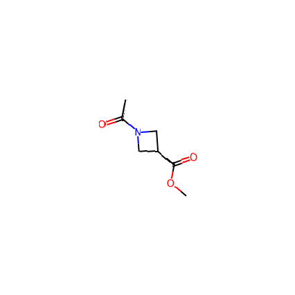 COC(=O)C1CN(C(C)=O)C1